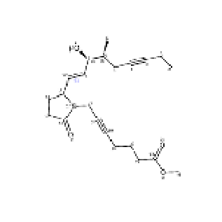 CCC#CC[C@H](C)[C@H](O)/C=C/C1CCC(=O)N1CC#CCCCC(=O)OC